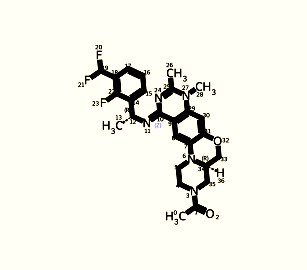 CC(=O)N1CCN2c3cc4/c(=N/[C@H](C)c5cccc(C(F)F)c5F)nc(C)n(C)c4cc3OC[C@H]2C1